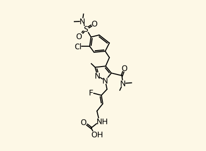 Cc1nn(C/C(F)=C/CNC(=O)O)c(C(=O)N(C)C)c1Cc1ccc(S(=O)(=O)N(C)C)c(Cl)c1